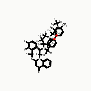 [2H]C([2H])([2H])OC([2H])([2H])C([2H])([2H])N1C([2H])([2H])C([2H])([2H])C([2H])(N(C(=O)C([2H])([2H])n2c(SC([2H])([2H])c3cccc(F)c3F)cc(=O)c3ccccc32)C([2H])(C)c2ccc(-c3ccc(C(F)(F)F)cc3)cc2)C([2H])([2H])C1([2H])[2H]